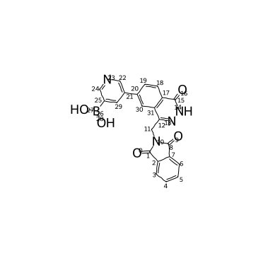 O=C1c2ccccc2C(=O)N1Cc1n[nH]c(=O)c2ccc(-c3cncc(B(O)O)c3)cc12